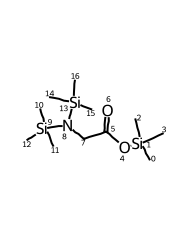 C[Si](C)(C)OC(=O)CN([Si](C)(C)C)[Si](C)(C)C